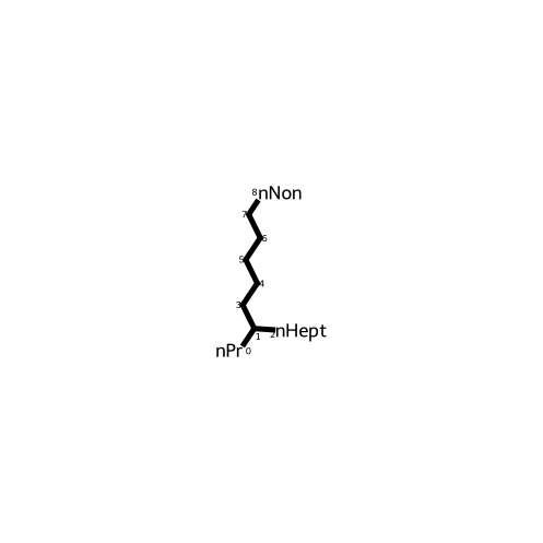 [CH2]CCC(CCCCCCC)CCCCCCCCCCCCCC